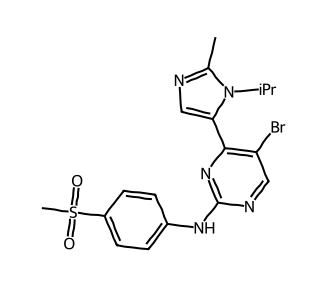 Cc1ncc(-c2nc(Nc3ccc(S(C)(=O)=O)cc3)ncc2Br)n1C(C)C